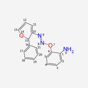 Nc1ccccc1ON=NC1=CC=COC1c1ccccc1